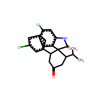 CC(C)C1CC(=O)CC(c2cccc(Cl)c2)C12C(=O)Nc1cc(Cl)ccc12